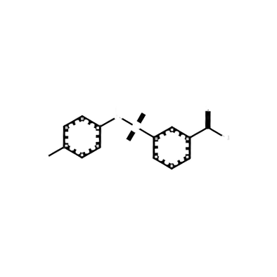 NC(=O)c1cccc(S(=O)(=O)Nc2ccc(Br)cc2)c1